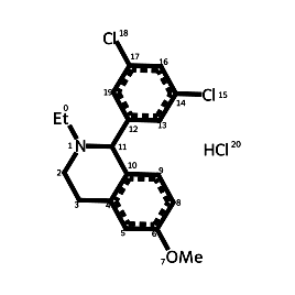 CCN1CCc2cc(OC)ccc2C1c1cc(Cl)cc(Cl)c1.Cl